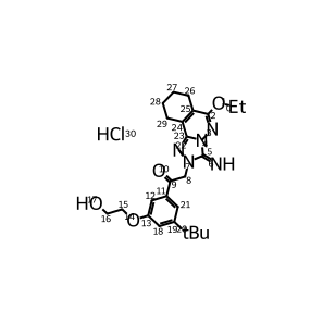 CCOc1nn2c(=N)n(CC(=O)c3cc(OCCO)cc(C(C)(C)C)c3)nc2c2c1CCCC2.Cl